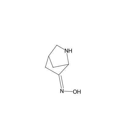 O/N=C1/CC2CNC1C2